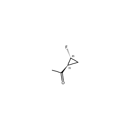 CC(=O)[C@@H]1C[C@H]1F